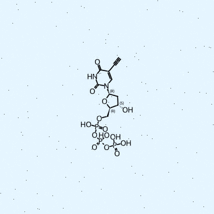 C#Cc1cn([C@H]2C[C@H](O)[C@@H](COP(=O)(O)OP(=O)(O)OP(=O)(O)O)O2)c(=O)[nH]c1=O